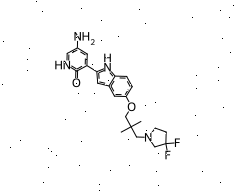 CC(C)(COc1ccc2[nH]c(-c3cc(N)c[nH]c3=O)cc2c1)CN1CCC(F)(F)C1